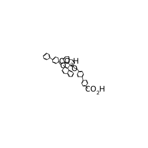 O=C(O)c1ccc(-c2ccc(COc3ccc4ccccc4c3-c3c(OCC4(C(=O)O)C=CC(c5ccccc5)=CC4)ccc4ccccc34)cc2)cc1